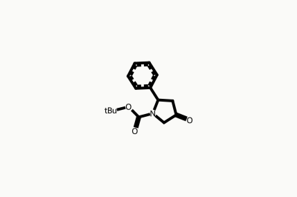 CC(C)(C)OC(=O)N1CC(=O)CC1c1ccccc1